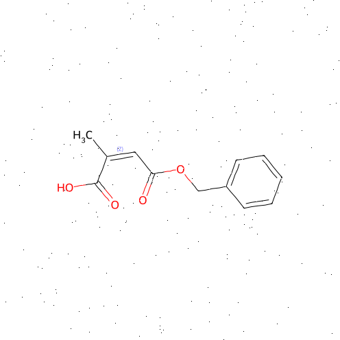 C/C(=C/C(=O)OCc1ccccc1)C(=O)O